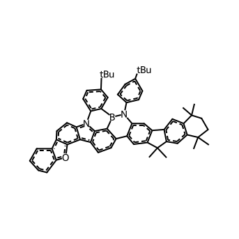 CC(C)(C)c1ccc(N2B3c4cc(C(C)(C)C)ccc4-n4c5ccc6c7ccccc7oc6c5c5ccc(c3c54)-c3cc4c(cc32)-c2cc3c(cc2C4(C)C)C(C)(C)CCC3(C)C)cc1